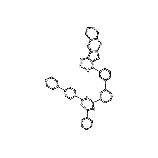 c1ccc(-c2ccc(-c3nc(-c4ccccc4)nc(-c4cccc(-c5cccc(-c6nnnc7c6sc6nc8ccccc8cc67)c5)c4)n3)cc2)cc1